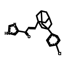 O=C(C=CC12CC3CC(C1)CC(c1ccc(Cl)cc1)(C3)C2)c1c[nH]cn1